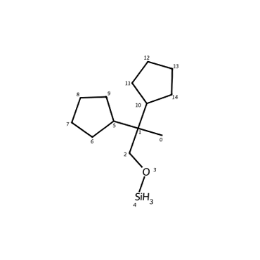 CC(CO[SiH3])(C1CCCC1)C1CCCC1